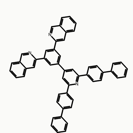 c1ccc(-c2ccc(-c3cc(-c4cc(-c5cc6ccccc6cn5)cc(-c5cc6ccccc6cn5)c4)cc(-c4ccc(-c5ccccc5)cc4)n3)cc2)cc1